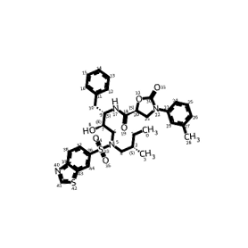 CC[C@H](C)CN(C[C@@H](O)[C@H](Cc1ccccc1)NC(=O)[C@@H]1CN(c2cccc(C)c2)C(=O)O1)S(=O)(=O)c1ccc2ncsc2c1